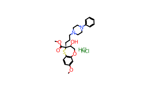 COC(=O)[C@@]1(CCCN2CCN(c3ccccc3)CC2)Sc2ccc(OC)cc2OC[C@@H]1O.Cl.Cl